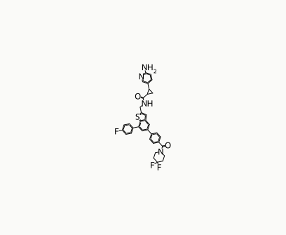 Nc1ccc(C2CC2C(=O)NCc2cc3cc(-c4ccc(C(=O)N5CCC(F)(F)CC5)cc4)cc(-c4ccc(F)cc4)c3s2)cn1